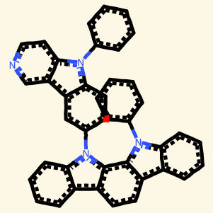 c1ccc(-n2c3ccncc3c3cc(-n4c5ccccc5c5ccc6c7ccccc7n(-c7ccccc7)c6c54)ccc32)cc1